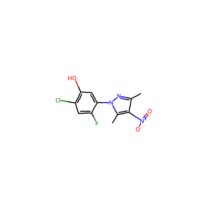 Cc1nn(-c2cc(O)c(Cl)cc2F)c(C)c1[N+](=O)[O-]